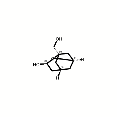 OC[C@]12C[C@@H]3C[C@@H](C[C@](O)(C3)O1)C2